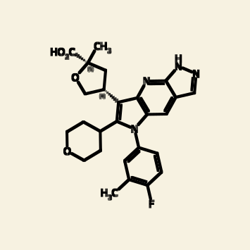 Cc1cc(-n2c(C3CCOCC3)c([C@@H]3CO[C@](C)(C(=O)O)C3)c3nc4[nH]ncc4cc32)ccc1F